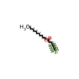 CCCCCCCCCCCCOC(=O)CCC(F)(F)C(F)(F)C(F)(F)C(F)(F)F